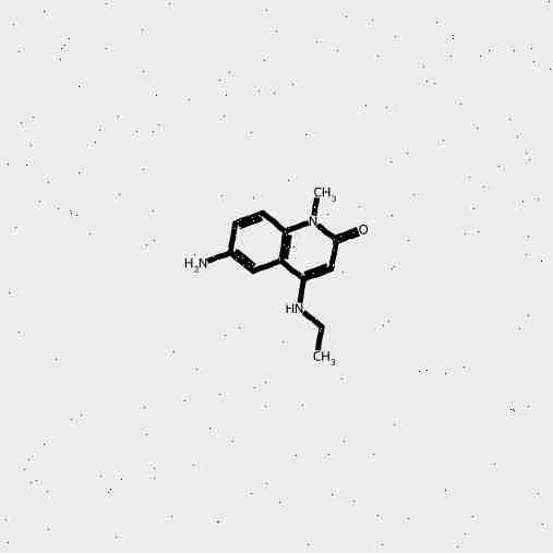 CCNc1cc(=O)n(C)c2ccc(N)cc12